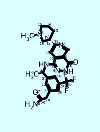 C[C@@H](Nc1n[nH]c(=O)c2cnc([C@H]3CCCN(C)C3)cc12)c1cc(CC(N)=O)cc(C(F)(F)F)c1